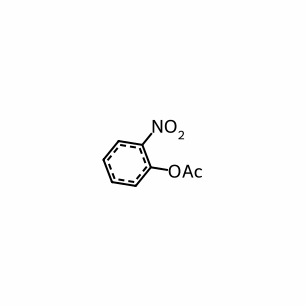 CC(=O)Oc1ccccc1[N+](=O)[O-]